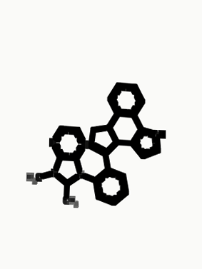 CC1N(C)c2nccnc2N1c1ccccc1C1=CCC2c3ccccc3-c3[nH]ccc3C12